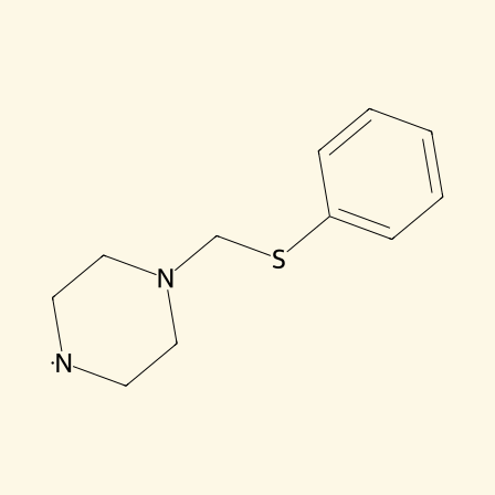 c1ccc(SCN2CC[N]CC2)cc1